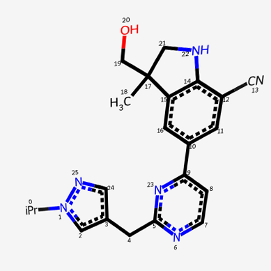 CC(C)n1cc(Cc2nccc(-c3cc(C#N)c4c(c3)C(C)(CO)CN4)n2)cn1